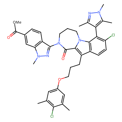 COC(=O)c1ccc2c(N3CCCn4c(c(CCCOc5cc(C)c(Cl)c(C)c5)c5ccc(Cl)c(-c6c(C)nn(C)c6C)c54)C3=O)nn(C)c2c1